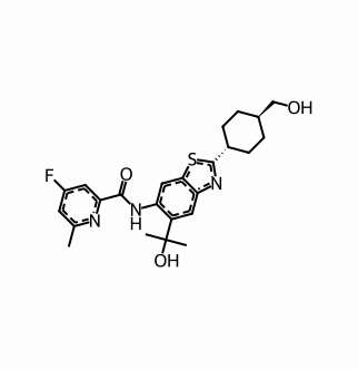 Cc1cc(F)cc(C(=O)Nc2cc3sc([C@H]4CC[C@H](CO)CC4)nc3cc2C(C)(C)O)n1